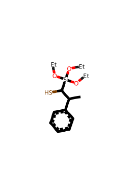 CCO[Si](OCC)(OCC)C(S)C(C)c1ccccc1